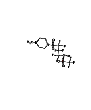 CN1CCN(S(=O)(=O)C(F)(F)C(F)(F)C(F)(F)S(=O)(=O)S(=O)(=O)C(F)(F)F)CC1